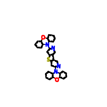 c1ccc2c(c1)Oc1ccccc1N2c1cc2sc3cc(N4c5ccccc5Oc5ccccc54)ncc3c2cn1